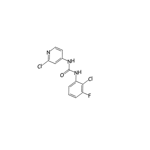 O=C(Nc1ccnc(Cl)c1)Nc1cccc(F)c1Cl